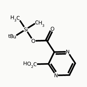 CC(C)(C)[Si](C)(C)OC(=O)c1nccnc1C(=O)O